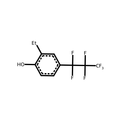 CCc1cc(C(F)(F)C(F)(F)C(F)(F)F)ccc1O